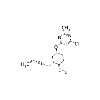 C=CC#CC[C@@H]1C[C@@H](Oc2cc(Cl)nc(C)n2)CCC1=C